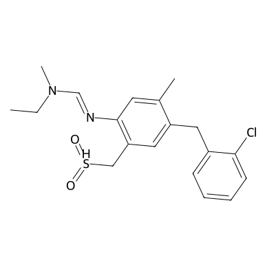 CCN(C)C=Nc1cc(C)c(Cc2ccccc2Cl)cc1C[SH](=O)=O